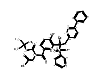 CC(C)(C)OC(=O)N(CC(=O)O)C(=O)c1ccc(Br)c(C(N)(Cc2ccc(-c3ccccc3)nn2)S(=O)(=O)c2cccnc2)n1